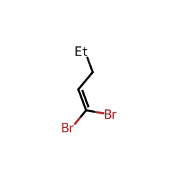 CCCC=C(Br)Br